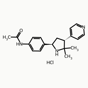 CC(=O)Nc1ccc([C@H]2C[C@H](c3ccncc3)C(C)(C)N2)cc1.Cl